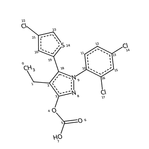 CCc1c(OC(=O)O)nn(-c2ccc(Cl)cc2Cl)c1-c1cc(Cl)cs1